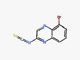 S=C=Nc1cnc2c(Br)cccc2n1